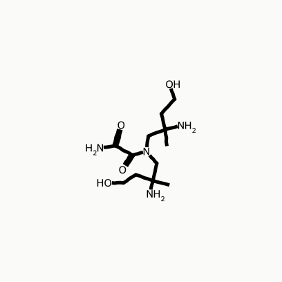 CC(N)(CCO)CN(CC(C)(N)CCO)C(=O)C(N)=O